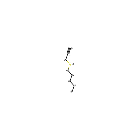 C#CCSCCCCC